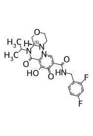 CC(C)N1C(=O)c2c(O)c(=O)c(C(=O)NCc3ccc(F)cc3F)cn2N2CCOC[C@@H]12